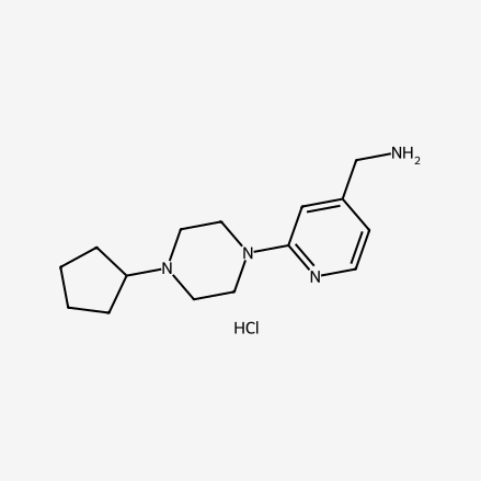 Cl.NCc1ccnc(N2CCN(C3CCCC3)CC2)c1